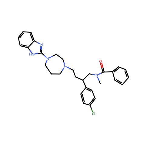 CN(CC(CCN1CCCN(c2nc3ccccc3[nH]2)CC1)c1ccc(Cl)cc1)C(=O)c1ccccc1